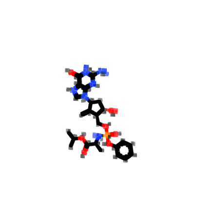 C=C1[C@H](CO[P@](=O)(N[C@@H](C)C(=O)OC(C)C)Oc2ccccc2)[C@@H](O)C[C@@H]1n1cnc2c(=O)[nH]c(N)nc21